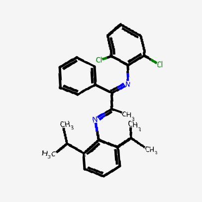 CC(=N\c1c(C(C)C)cccc1C(C)C)/C(=N/c1c(Cl)cccc1Cl)c1ccccc1